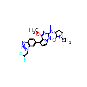 COc1nc(N[C@@H]2CCN(C)C2=O)nn2ccc(-c3ccc4nnn(CC(F)F)c4c3)c12